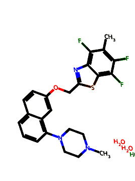 Cc1c(F)c(F)c2sc(COc3ccc4cccc(N5CCN(C)CC5)c4c3)nc2c1F.Cl.Cl.O.O